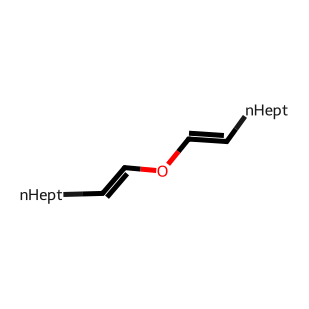 CCCCCCC/C=C/O/C=C/CCCCCCC